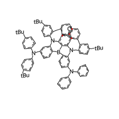 CC(C)(C)c1ccc(N(c2ccc(C(C)(C)C)cc2)c2ccc3c(c2)N(c2ccc(C(C)(C)C)cc2-c2ccccc2)c2cc(Cl)cc4c2B3c2ccc(N(c3ccccc3)c3ccccc3)cc2N4c2ccc(C(C)(C)C)cc2-c2ccccc2)cc1